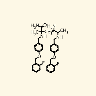 CC(C)(NCc1ccc(OCc2ccccc2F)cc1)C(N)=O.CC(NCc1ccc(OCc2ccccc2F)cc1)C(N)=O